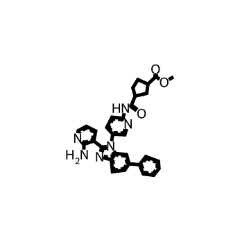 COC(=O)C1CCC(C(=O)Nc2ccc(-n3c(-c4cccnc4N)nc4ccc(-c5ccccc5)cc43)cn2)C1